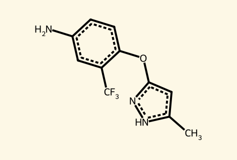 Cc1cc(Oc2ccc(N)cc2C(F)(F)F)n[nH]1